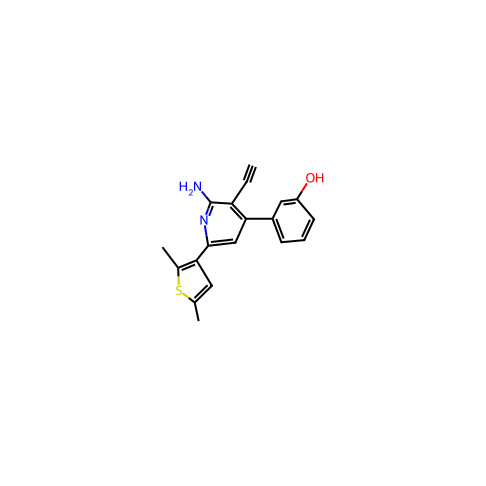 C#Cc1c(-c2cccc(O)c2)cc(-c2cc(C)sc2C)nc1N